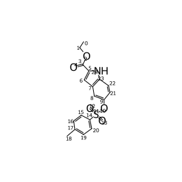 CCOC(=O)c1cc2cc(OS(=O)(=O)c3ccc(C)cc3)ccc2[nH]1